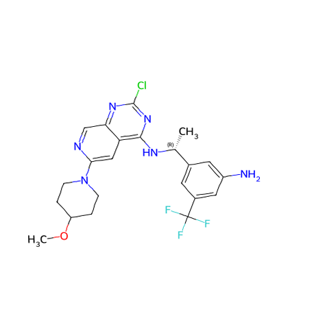 COC1CCN(c2cc3c(N[C@H](C)c4cc(N)cc(C(F)(F)F)c4)nc(Cl)nc3cn2)CC1